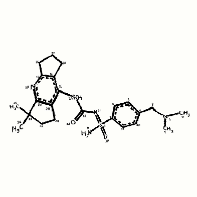 CN(C)Cc1ccc(S(N)(=O)=NC(=O)Nc2c3c(nc4c2CCC4(C)C)CCC3)cc1